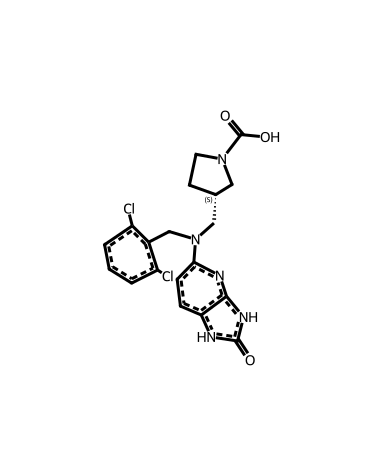 O=C(O)N1CC[C@@H](CN(Cc2c(Cl)cccc2Cl)c2ccc3[nH]c(=O)[nH]c3n2)C1